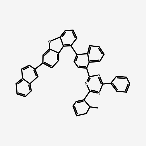 CC1CC=CC=C1c1nc(-c2ccccc2)nc(-c2ccc(-c3cccc4oc5cc(-c6ccc7ccccc7c6)ccc5c34)c3ccccc23)n1